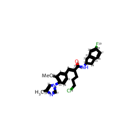 COc1cc(/C=C(\CCCCl)C(=O)NC2Cc3ccc(F)cc3C2)ccc1-n1cnc(C)c1